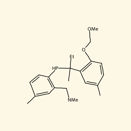 CCC(C)(Pc1ccc(C)cc1CNC)c1cc(C)ccc1OCOC